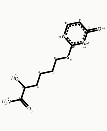 NC(=O)C(O)CCCCSc1nccc(=O)[nH]1